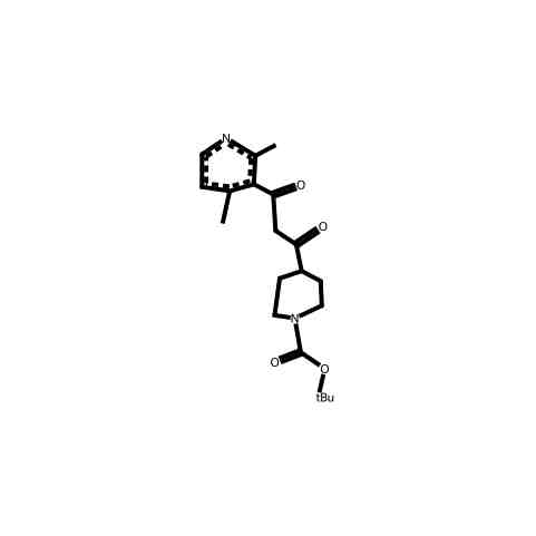 Cc1ccnc(C)c1C(=O)CC(=O)C1CCN(C(=O)OC(C)(C)C)CC1